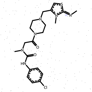 C/N=c1\scc(CN2CCN(C(=O)CN(C)C(=O)Nc3ccc(Cl)cc3)CC2)n1C